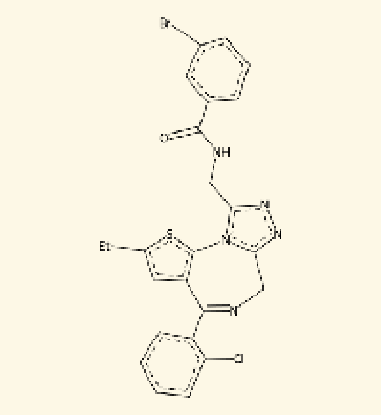 CCc1cc2c(s1)-n1c(nnc1CNC(=O)c1cccc(Br)c1)CN=C2c1ccccc1Cl